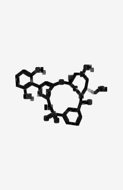 Cc1cccc(C)c1-c1cc2nc(n1)NS(=O)(=O)c1cccc(c1)C(=O)N1C[C@@H](CN(C)C[C@@H]1CC(C)(C)C)O2